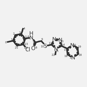 Cc1cc(C)c(NC(=O)CSc2nnc(-c3cnccn3)n2C)c(Cl)c1